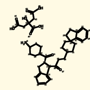 NC1CCN(C(=O)[C@@H]2Cc3ccccc3N2C(=O)CCN2CCC3(CCc4ccccc43)CC2)CC1.O=C(O)CC(O)(CC(=O)O)C(=O)O